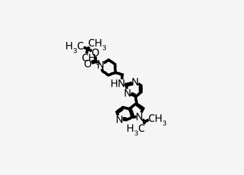 CC(C)n1cc(-c2ccnc(NCC3CCN(C(=O)OC(C)(C)C)CC3)n2)c2ccncc21